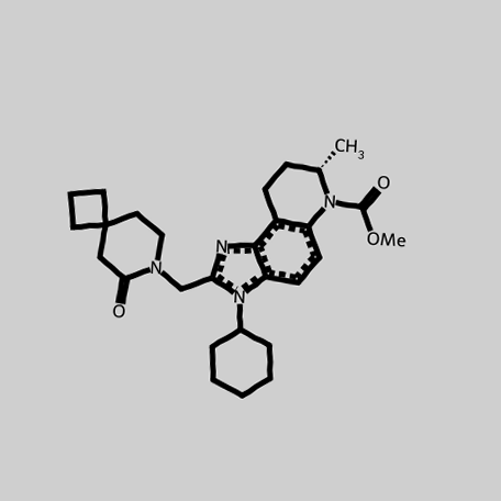 COC(=O)N1c2ccc3c(nc(CN4CCC5(CCC5)CC4=O)n3C3CCCCC3)c2CC[C@@H]1C